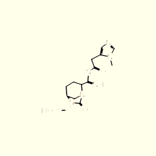 Cn1cncc1CC(=O)NC(=N)C1CCC2CN1C(=O)N2OS(=O)(=O)O